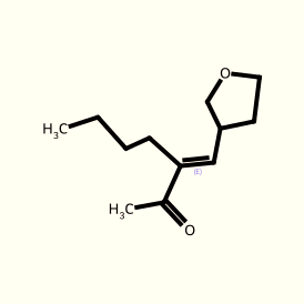 CCCC/C(=C\C1CCOC1)C(C)=O